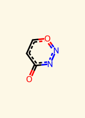 O=c1cconn1